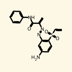 C=CS(=O)(=O)c1ccc(N)cc1N=NC(=C)C(=O)Nc1ccccc1